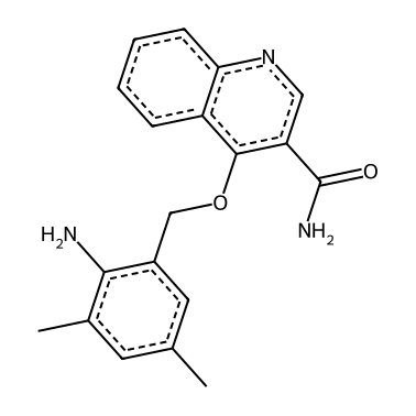 Cc1cc(C)c(N)c(COc2c(C(N)=O)cnc3ccccc23)c1